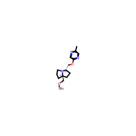 Cc1cnc(OC[C@@H]2CC[C@]3(COC(C)(C)C)CCCN23)cn1